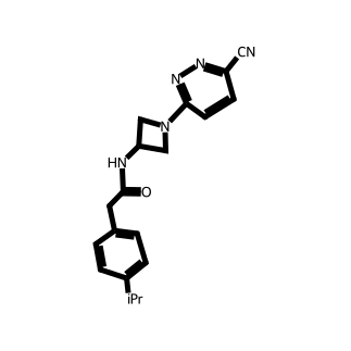 CC(C)c1ccc(CC(=O)NC2CN(c3ccc(C#N)nn3)C2)cc1